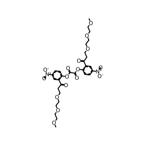 COCCOCCOCCC(=O)c1cc([N+](=O)[O-])ccc1OC(=O)C(=O)Oc1ccc([N+](=O)[O-])cc1C(=O)CCOCCOCCOC